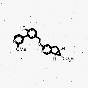 CCOC(=O)[C@H]1[C@@H]2Cc3cc(OCc4ccc(C)c(-c5ccnc(OC)c5)c4)ncc3[C@@H]21